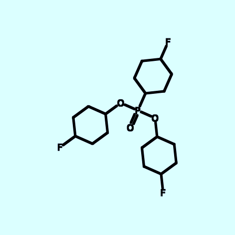 O=P(OC1CCC(F)CC1)(OC1CCC(F)CC1)C1CCC(F)CC1